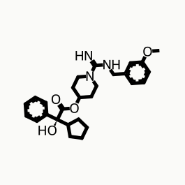 COc1cccc(CNC(=N)N2CCC(OC(=O)[C@](O)(c3ccccc3)C3CCCC3)CC2)c1